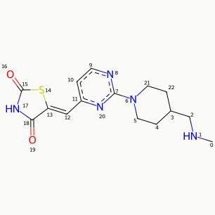 CNCC1CCN(c2nccc(/C=C3\SC(=O)NC3=O)n2)CC1